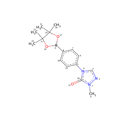 Cn1ncn(-c2ccc(B3OC(C)(C)C(C)(C)O3)cc2)c1=O